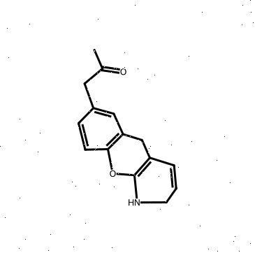 CC(=O)Cc1ccc2c(c1)CC1=C(NCC=C1)O2